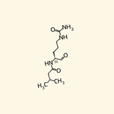 CC(C)CC(=O)N[C@H](C=O)CCCNC(N)=O